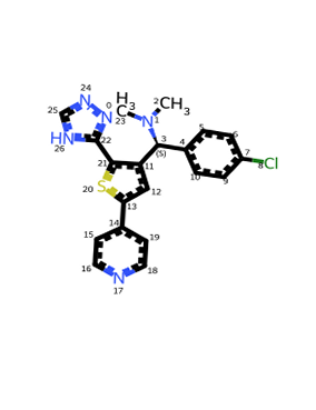 CN(C)[C@@H](c1ccc(Cl)cc1)c1cc(-c2ccncc2)sc1-c1nnc[nH]1